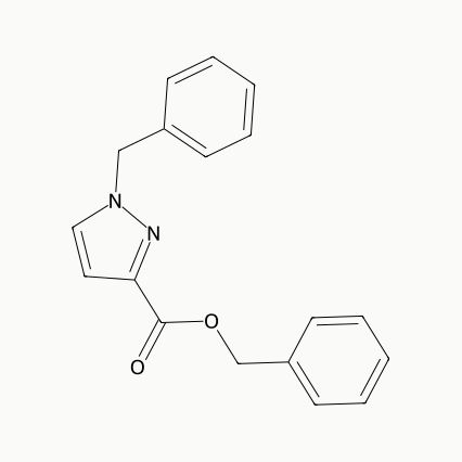 O=C(OCc1ccccc1)c1ccn(Cc2ccccc2)n1